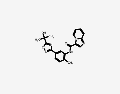 Cc1ccc(-c2noc(C(C)(C)O)n2)cc1NC(=O)c1cnc2ccccn12